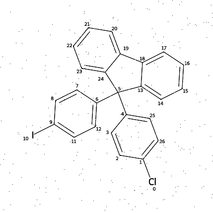 Clc1ccc(C2(c3ccc(I)cc3)c3ccccc3-c3ccccc32)cc1